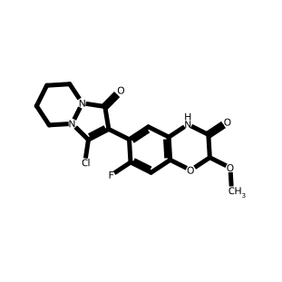 COC1Oc2cc(F)c(-c3c(Cl)n4n(c3=O)CCCC4)cc2NC1=O